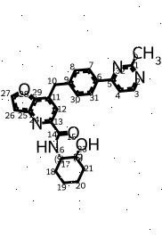 Cc1nccc(-c2ccc(Cc3cc(C(=O)N[C@H]4CCCC[C@@H]4O)nc4ccoc34)cc2)n1